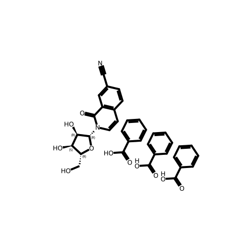 N#Cc1ccc2ccn([C@@H]3O[C@H](CO)[C@@H](O)[C@H]3O)c(=O)c2c1.O=C(O)c1ccccc1.O=C(O)c1ccccc1.O=C(O)c1ccccc1